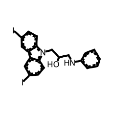 OC(CNc1ccccc1)Cn1c2ccc(I)cc2c2cc(I)ccc21